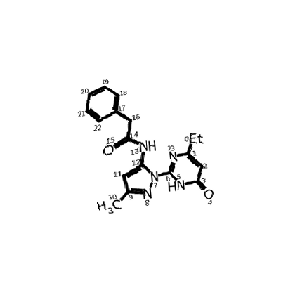 CCc1cc(=O)[nH]c(-n2nc(C)cc2NC(=O)Cc2ccccc2)n1